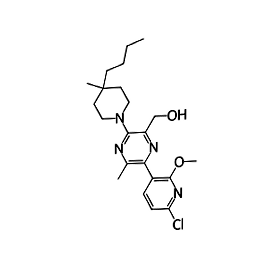 CCCCC1(C)CCN(c2nc(C)c(-c3ccc(Cl)nc3OC)nc2CO)CC1